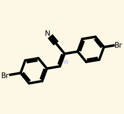 N#C/C(=C\c1ccc(Br)cc1)c1ccc(Br)cc1